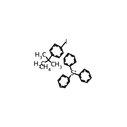 C.CC(C)(C)c1ccc(I)cc1.c1ccc([S+](c2ccccc2)c2ccccc2)cc1